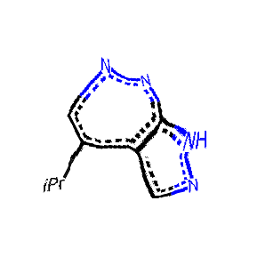 CC(C)c1cnnc2[nH]ncc12